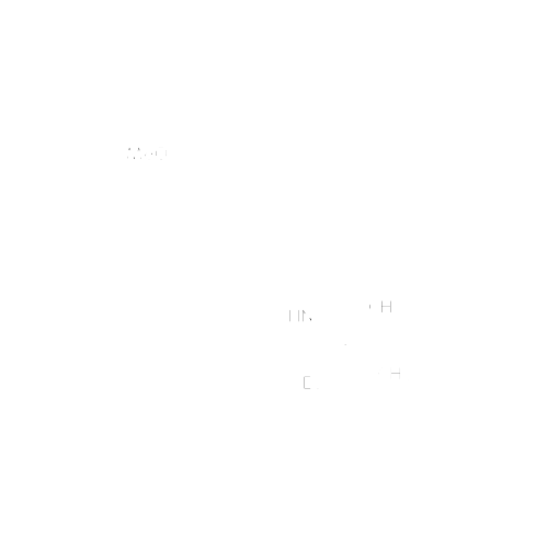 CCC(C)(C)NCc1ccc(OC)cc1